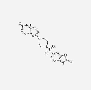 Cn1c(=O)oc2cc(S(=O)(=O)N3CCC(c4ccc5c(c4)COC(=O)N5)CC3)ccc21